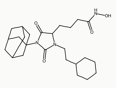 O=C(CCCC1C(=O)N(C23CC4CC(CC(C4)C2)C3)C(=O)N1CCC1CCCCC1)NO